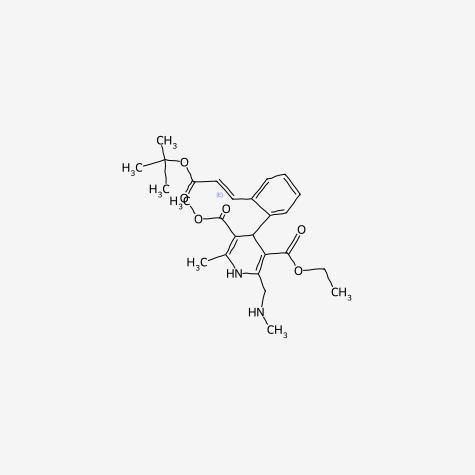 CCOC(=O)C1=C(CNC)NC(C)=C(C(=O)OC)C1c1ccccc1/C=C/C(=O)OC(C)(C)C